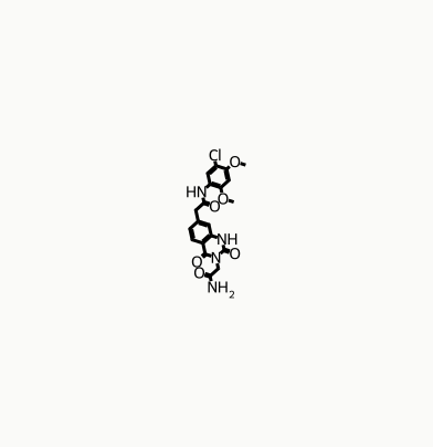 COc1cc(OC)c(NC(=O)Cc2ccc3c(=O)n(CC(N)=O)c(=O)[nH]c3c2)cc1Cl